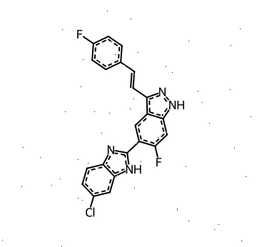 Fc1ccc(C=Cc2n[nH]c3cc(F)c(-c4nc5ccc(Cl)cc5[nH]4)cc23)cc1